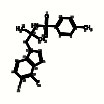 Cc1ccc(S(=O)(=O)NC(C)(C)Cn2ccc3c(F)c(F)ccc32)cc1